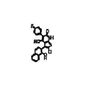 O=c1[nH]c2sc(Cl)c(-c3ccc4ccccc4c3O)c2c(O)c1-c1ccc(F)cc1